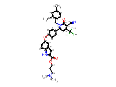 Cc1ccc(Cn2c(-c3ccc(Oc4ccc5[nH]c(C(=O)OCCCN(C)C)cc5c4)cc3)cc(C(F)(F)F)c(C#N)c2=O)c(C)c1